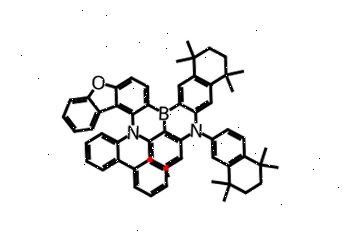 Cc1cc2c3c(c1)N(c1ccccc1-c1ccccc1)c1c(ccc4oc5ccccc5c14)B3c1cc3c(cc1N2c1ccc2c(c1)C(C)(C)CCC2(C)C)C(C)(C)CCC3(C)C